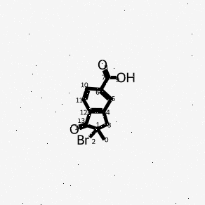 CC1(Br)Cc2cc(C(=O)O)ccc2C1=O